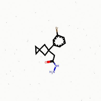 NNC(=O)CC1(c2cccc(Br)c2)CC2(CC2)C1